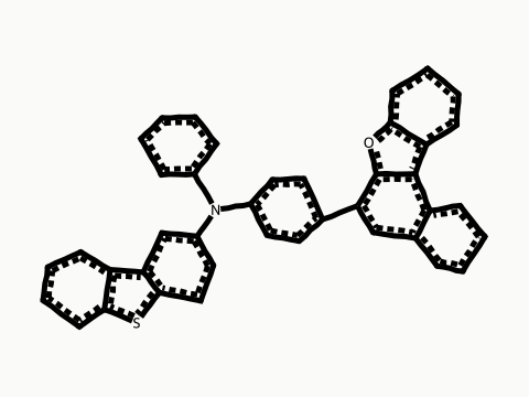 c1ccc(N(c2ccc(-c3cc4ccccc4c4c3oc3ccccc34)cc2)c2ccc3sc4ccccc4c3c2)cc1